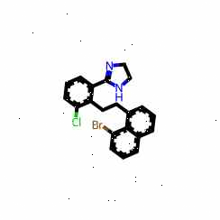 Clc1cccc(C2=NCCN2)c1CCc1cccc2cccc(Br)c12